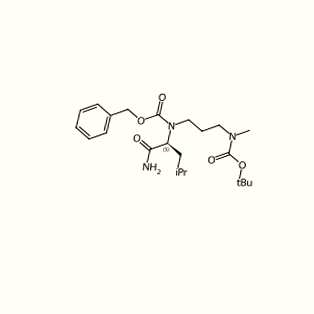 CC(C)C[C@@H](C(N)=O)N(CCCN(C)C(=O)OC(C)(C)C)C(=O)OCc1ccccc1